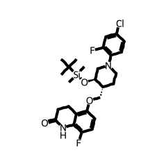 CC(C)(C)[Si](C)(C)O[C@H]1CN(c2ccc(Cl)cc2F)CC[C@@H]1COc1ccc(F)c2c1CCC(=O)N2